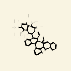 Bc1c(O)c(O)c(O)c2c1C(O)=C(c1c(C=C)c(/C=C\C)c(-c3cccc4oc5c6ccccc6ccc5c34)c3ccccc13)CC(O)=C2O